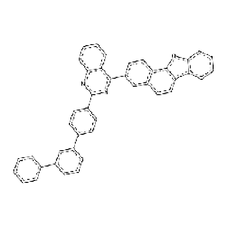 c1ccc(-c2cccc(-c3ccc(-c4nc(-c5ccc6c(ccc7c8ccccc8oc67)c5)c5ccccc5n4)cc3)c2)cc1